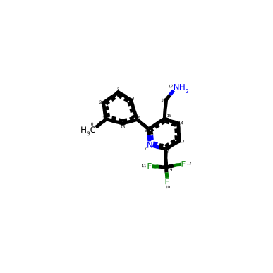 Cc1cccc(-c2nc(C(F)(F)F)ccc2CN)c1